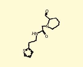 O=CC1CCCCN1CC(=O)NCCc1cccs1